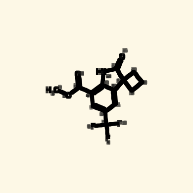 COC(=O)c1cc(C(F)(F)F)cc2c1NC(=O)C21CCC1